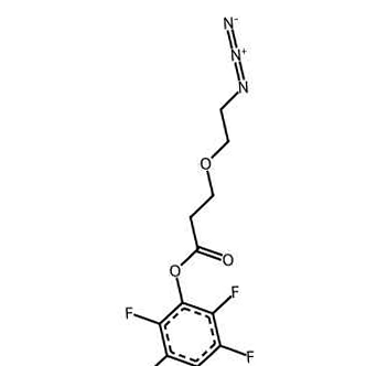 [N-]=[N+]=NCCOCCC(=O)Oc1c(F)c(F)cc(F)c1F